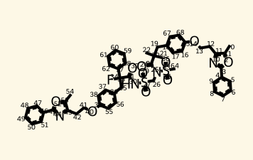 Cc1oc(-c2ccccc2)nc1CCOc1ccc(CC(C)(C)C(=O)N(CS(=O)(=O)NC(=O)C(F)(Cc2ccc(OCCc3nc(-c4ccccc4)oc3C)cc2)c2ccccc2)S(C)(=O)=O)cc1